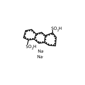 O=S(=O)(O)c1cccc2cc3c(S(=O)(=O)O)cccc3cc12.[Na].[Na]